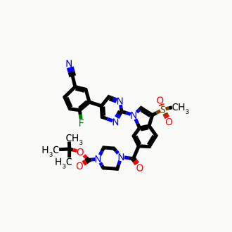 CC(C)(C)OC(=O)N1CCN(C(=O)c2ccc3c(S(C)(=O)=O)cn(-c4ncc(-c5cc(C#N)ccc5F)cn4)c3c2)CC1